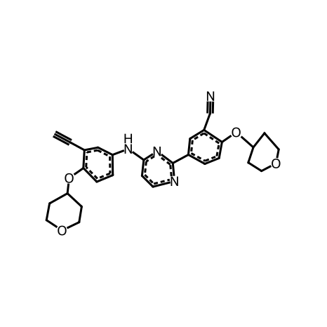 C#Cc1cc(Nc2ccnc(-c3ccc(OC4CCOCC4)c(C#N)c3)n2)ccc1OC1CCOCC1